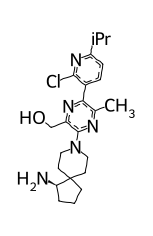 Cc1nc(N2CCC3(CCC[C@H]3N)CC2)c(CO)nc1-c1ccc(C(C)C)nc1Cl